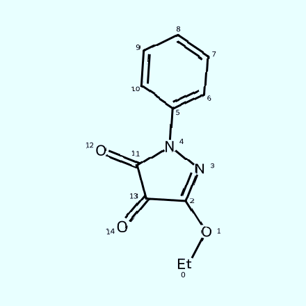 CCOC1=NN(c2ccccc2)C(=O)C1=O